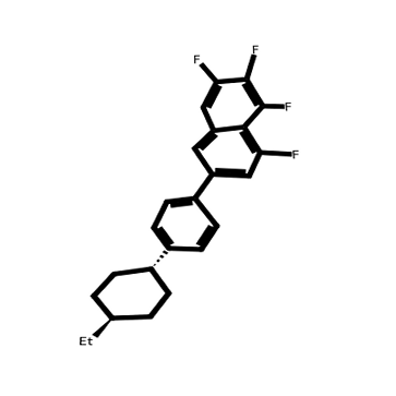 CC[C@H]1CC[C@H](c2ccc(-c3cc(F)c4c(F)c(F)c(F)cc4c3)cc2)CC1